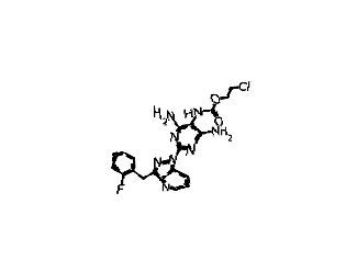 Nc1nc(-n2nc(Cc3ccccc3F)c3ncccc32)nc(N)c1NC(=O)OCCCl